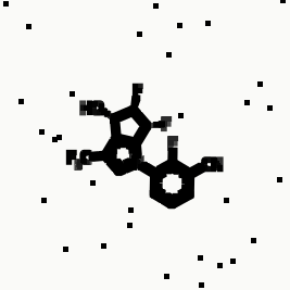 N#Cc1cccc(-n2cc(C(F)(F)F)c3c2[C@@H](F)[C@H](F)[C@H]3O)c1F